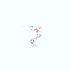 CCC(CCNC)c1cccc(C/C(C)=C(/C=C(C)C)OC[C@H]2O[C@@H](n3ccc(N)nc3=O)[C@H](O)[C@@H]2O[PH](=O)O)c1